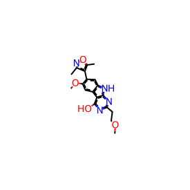 COCCc1nc(O)c2c(n1)[nH]c1cc(-c3c(C)noc3C)c(OC)cc12